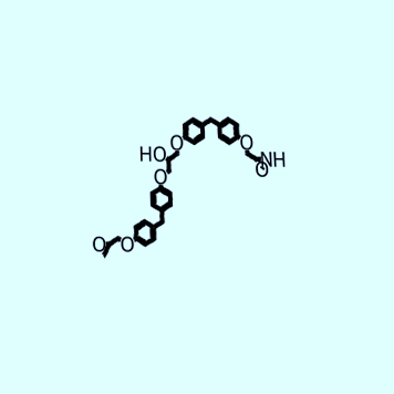 OC(COc1ccc(Cc2ccc(OCC3CO3)cc2)cc1)COc1ccc(Cc2ccc(OCC3NO3)cc2)cc1